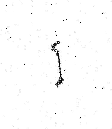 NC(=O)c1c(-c2ccc(Oc3ccccc3)cc2)nn2c1NCC[C@H]2C1CCN(C(=O)c2cn(CCOCCOCCOCCOCCOCCOCCOCCNc3cccc4c3C(=O)N(C3CCC(=O)NC3=O)C4=O)nn2)CC1